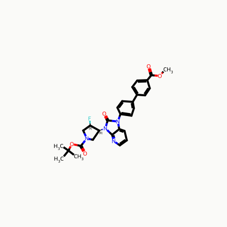 COC(=O)c1ccc(-c2ccc(-n3c(=O)n([C@@H]4CN(C(=O)OC(C)(C)C)C[C@H]4F)c4ncccc43)cc2)cc1